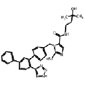 CCCCc1ncc(C(=O)NCCC(C)(C)O)n1Cc1ccc(-c2cc(-c3ccccc3)ccc2-c2nn[nH]n2)cc1